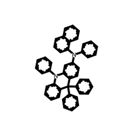 c1ccc(N2c3ccccc3C(c3ccccc3)(c3ccccc3)c3ccc(N(c4ccccc4)c4cccc5ccccc45)cc32)cc1